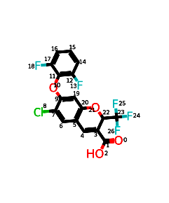 O=C(O)C1=Cc2cc(Cl)c(Oc3c(F)cccc3F)cc2OC1C(F)(F)F